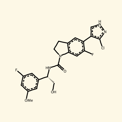 COc1cc(F)cc([C@@H](CO)NC(=O)N2CCc3cc(-c4c[nH]nc4Cl)c(F)cc32)c1